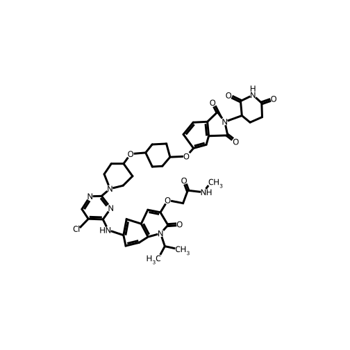 CNC(=O)COc1cc2cc(Nc3nc(N4CCC(OC5CCC(Oc6ccc7c(c6)C(=O)N(C6CCC(=O)NC6=O)C7=O)CC5)CC4)ncc3Cl)ccc2n(C(C)C)c1=O